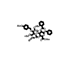 CCCCOCC(O[C@@H](CN=[N+]=[N-])O[C@@H]1C(C(=O)OC)O[C@H](Sc2ccccc2)C(OC(=O)c2ccccc2)C1OCCCC)[C@H](COCCCC)OCc1ccc(OC)cc1